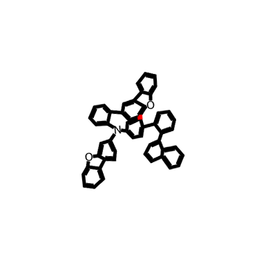 c1ccc(-c2cccc3ccccc23)c(-c2ccc(N(c3ccc4c(c3)oc3ccccc34)c3ccccc3-c3ccc4oc5ccccc5c4c3)cc2)c1